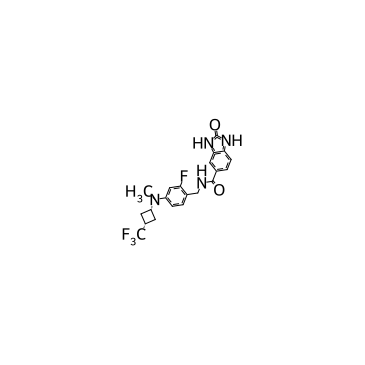 CN(c1ccc(CNC(=O)c2ccc3[nH]c(=O)[nH]c3c2)c(F)c1)[C@H]1C[C@@H](C(F)(F)F)C1